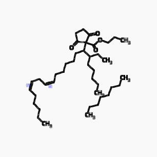 CCCCC/C=C\C/C=C\CCCCCC(C(CC)CCCCC)C1(C(=O)OCCC)C(=O)CCC1=O.CCCCCCCC